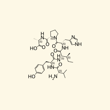 CC[C@H](C)[C@H](NC(=O)[C@H](Cc1ccc(O)cc1)NC(=O)[C@@H](N)C(C)C)C(=O)N[C@@H](Cc1c[nH]cn1)C(=O)N1CCC[C@H]1C(=O)N[C@@H](C)C(=O)O